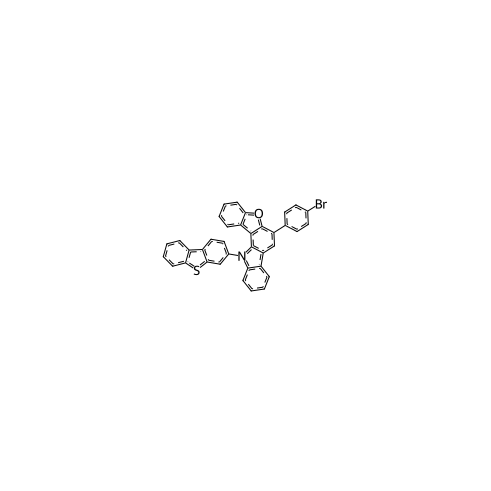 Brc1ccc(-c2cc3c4ccccc4n(-c4ccc5c(c4)sc4ccccc45)c3c3c2oc2ccccc23)cc1